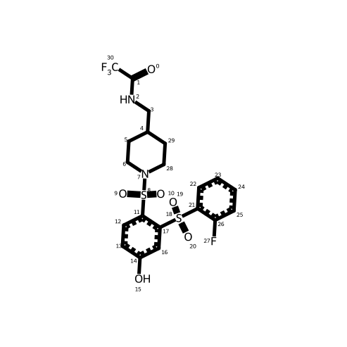 O=C(NCC1CCN(S(=O)(=O)c2ccc(O)cc2S(=O)(=O)c2ccccc2F)CC1)C(F)(F)F